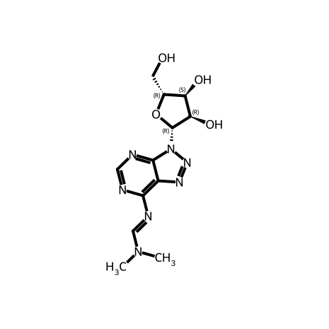 CN(C)C=Nc1ncnc2c1nnn2[C@@H]1O[C@H](CO)[C@@H](O)[C@H]1O